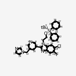 CC(C)(C)[Si](OCCn1c(-c2cncc(Cn3ccnc3)c2)nc2cc(F)c(Cl)cc21)(c1ccccc1)c1ccccc1